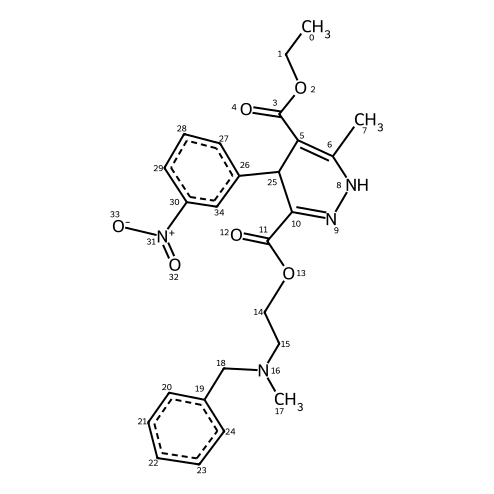 CCOC(=O)C1=C(C)NN=C(C(=O)OCCN(C)Cc2ccccc2)C1c1cccc([N+](=O)[O-])c1